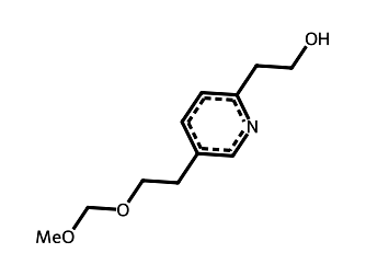 COCOCCc1ccc(CCO)nc1